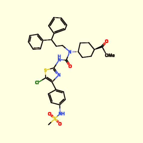 COC(=O)[C@H]1CC[C@H](N(CCC(c2ccccc2)c2ccccc2)C(=O)Nc2nc(-c3ccc(NS(C)(=O)=O)cc3)c(Cl)s2)CC1